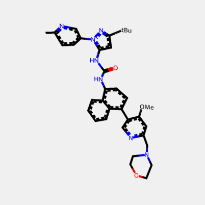 COc1cc(CN2CCOCC2)ncc1-c1ccc(NC(=O)Nc2cc(C(C)(C)C)nn2-c2ccc(C)nc2)c2ccccc12